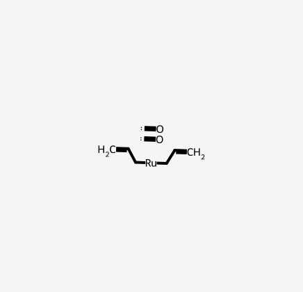 C=C[CH2][Ru][CH2]C=C.[C]=O.[C]=O